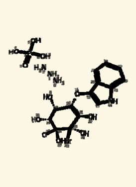 N.N.N.O=P(O)(O)O.O[C@@H]1[C@H](Oc2c[nH]c3ccccc23)[C@@H](O)[C@@](O)(Br)[C@](O)(Cl)[C@@H]1O